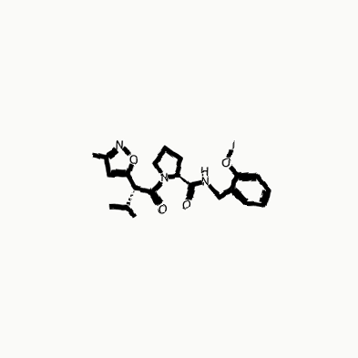 Cc1cc([C@H](C(=O)N2CCC[C@H]2C(=O)NCc2ccccc2OI)C(C)C)on1